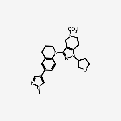 Cn1cc(-c2ccc3c(c2)CCCN3c2nn(C3CCOC3)c3c2CN(C(=O)O)CC3)cn1